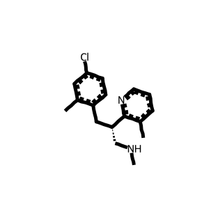 CNC[C@H](Cc1ccc(Cl)cc1C)c1ncccc1C